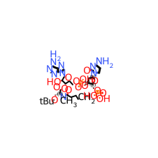 C=CCCC(=O)N(C)[C@H](COC(C)(C)C)C(=O)OC1C(COP(=O)(O)O[C@H]2C[C@H](n3ccc(N)nc3=O)O[C@@H]2COP(=O)(O)O)OC(n2cnc3c(N)ncnc32)C1O